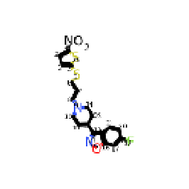 O=[N+]([O-])c1ccc(SCCCN2CCC(c3noc4cc(F)ccc34)CC2)s1